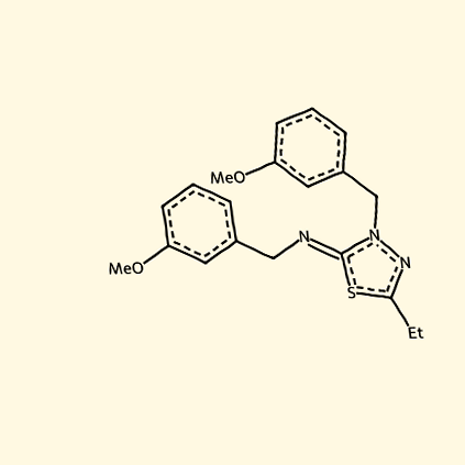 CCc1nn(Cc2cccc(OC)c2)c(=NCc2cccc(OC)c2)s1